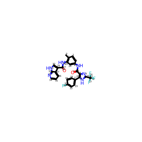 Cc1ccc(NC(=O)c2nc(C(F)(F)F)[nH]c2-c2ccc(F)cc2)cc1NC(=O)c1c[nH]c2ncccc12